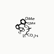 CCC(CCC(C)(C)COc1c(-c2cccc3c2COC3=O)ccc(OC)c1OC)C(=O)O